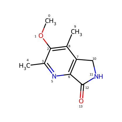 COc1c(C)nc2c(c1C)CNC2=O